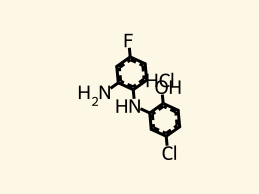 Cl.Nc1cc(F)ccc1Nc1cc(Cl)ccc1O